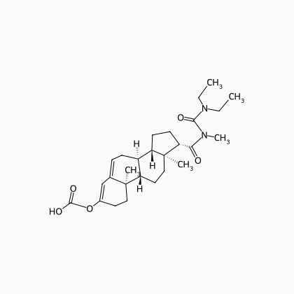 CCN(CC)C(=O)N(C)C(=O)[C@H]1CC[C@H]2[C@@H]3CC=C4C=C(OC(=O)O)CC[C@]4(C)[C@H]3CC[C@]12C